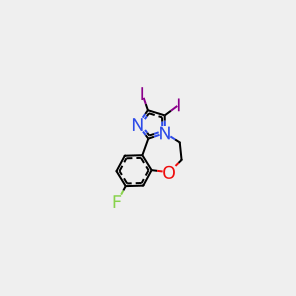 Fc1ccc2c(c1)OCCn1c-2nc(I)c1I